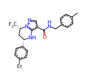 CCc1ccc([C@@H]2C[C@H](C(F)(F)F)n3ncc(C(=O)NCc4ccc(C)cc4)c3N2)cc1